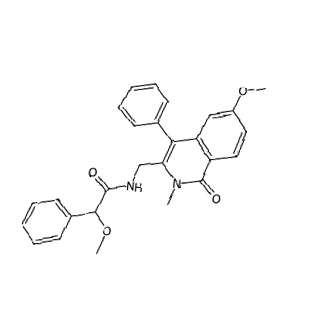 COc1ccc2c(=O)n(C)c(CNC(=O)C(OC)c3ccccc3)c(-c3ccccc3)c2c1